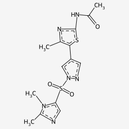 CC(=O)Nc1nc(C)c(-c2cnn(S(=O)(=O)c3cnc(C)n3C)c2)s1